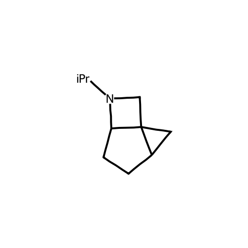 CC(C)N1CC23CC2CCC13